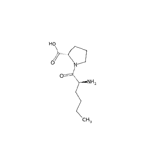 CCCC[C@H](N)C(=O)N1CCC[C@H]1C(=O)O